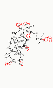 CC(C)(O)CCC(=O)C(C)(O)[C@H]1[C@H](O)C[C@@]2(C)[C@@H]3CC=C4[C@@H](CC(=O)[C@H](O)C4(C)C)C3(C)C(=O)C[C@]12C